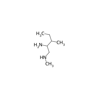 CCC(C)C(N)CNC